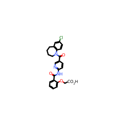 O=C(O)COc1ccccc1C(=O)Nc1ccc(C(=O)N2CCCCc3cc(Cl)ccc32)cn1